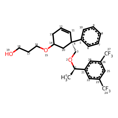 C[C@@H](OC[C@@]1(c2ccccc2)C=CCC(OCCCO)C1)c1cc(C(F)(F)F)cc(C(F)(F)F)c1